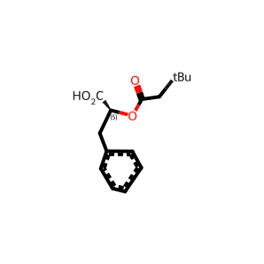 CC(C)(C)CC(=O)O[C@@H](Cc1ccccc1)C(=O)O